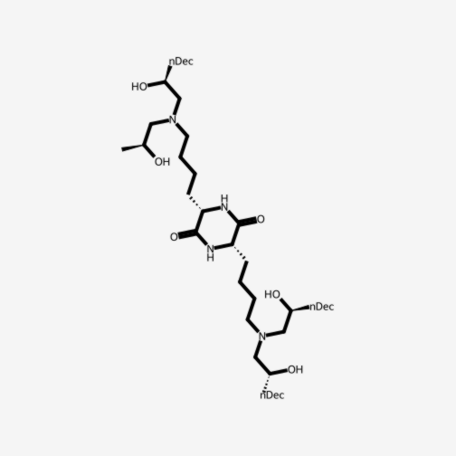 CCCCCCCCCC[C@@H](O)CN(CCCC[C@@H]1NC(=O)[C@H](CCCCN(C[C@@H](O)CCCCCCCCCC)C[C@H](C)O)NC1=O)C[C@@H](O)CCCCCCCCCC